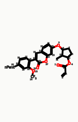 C=CC(=O)OC1CCC(Oc2ccc3cc(-c4ccc(CCCCC)cc4OC(F)(F)F)c(=O)oc3c2)C1C